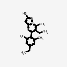 CCc1cc(C)c(-c2nc3cc(S)nn3c(N)c2CN)c(C)c1